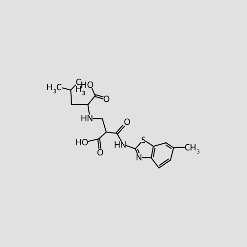 Cc1ccc2nc(NC(=O)C(CNC(CC(C)C)C(=O)O)C(=O)O)sc2c1